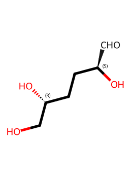 O=C[C@@H](O)CC[C@@H](O)CO